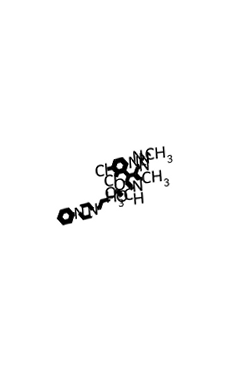 CC1=C(OC(=O)OCCCN2CCN(c3ccccc3)CC2)C(c2cccc(Cl)c2Cl)C(c2nnn(C)n2)=C(C)N1